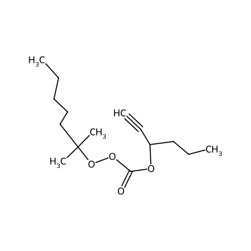 C#CC(CCC)OC(=O)OOC(C)(C)CCCCC